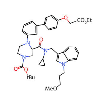 CCOC(=O)COc1ccc(-c2cccc(N3CCN(C(=O)OC(C)(C)C)CC3C(=O)N(Cc3cn(CCCOC)c4ccccc34)C3CC3)c2)cc1